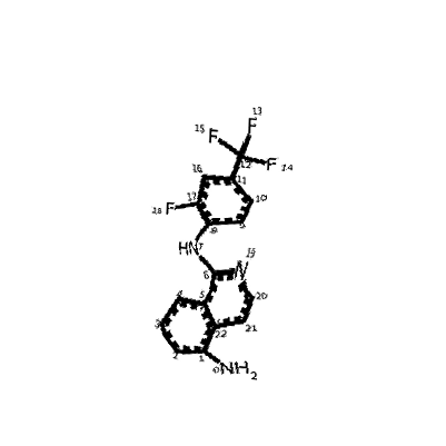 Nc1cccc2c(Nc3ccc(C(F)(F)F)cc3F)nccc12